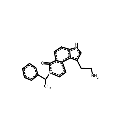 CC(c1ccccc1)n1ccc2c(ccc3[nH]cc(CCN)c32)c1=O